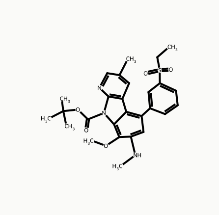 CCS(=O)(=O)c1cccc(-c2cc(NC)c(OC)c3c2c2cc(C)cnc2n3C(=O)OC(C)(C)C)c1